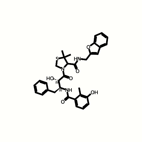 Cc1c(O)cccc1C(=O)N[C@@H](Cc1ccccc1)[C@H](O)C(=O)N1CSC(C)(C)C1C(=O)NCc1cc2ccccc2o1